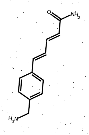 NCc1ccc(C=CC=CC(N)=O)cc1